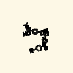 CC(C)N1CC(O)(c2ccc(-c3cc4c(N5CCN(C(=O)C6CCC(C#N)CC6)CC5)ccnn4c3)cc2)C1